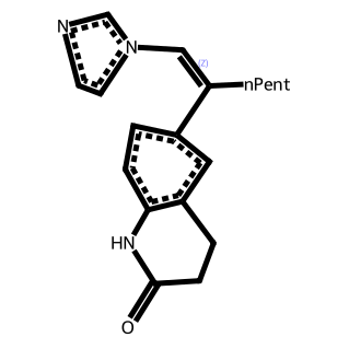 CCCCC/C(=C/n1ccnc1)c1ccc2c(c1)CCC(=O)N2